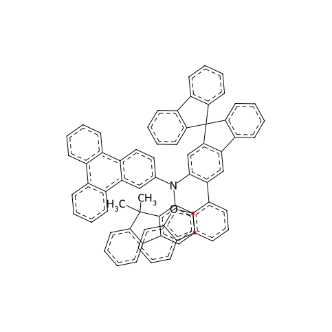 CC1(C)c2ccccc2-c2cccc(N(c3ccc4c5ccccc5c5ccccc5c4c3)c3cc4c(cc3-c3cccc5c3oc3ccccc35)-c3ccccc3C43c4ccccc4-c4ccccc43)c21